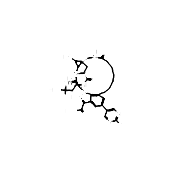 CC(=O)c1nn2c3c(cc(-c4cnc(C)nc4)cc13)CCCCCCC(=O)NC[C@@]13C[C@@H](C(=O)N[C@H](C)CC(C)(C)C)N(C(=O)C2)C1C3C